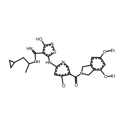 CCOc1cc2c(c(OCC)c1)CN(C(=O)c1cnc(Nc3snc(O)c3C(=N)NC(C)CC3CC3)cc1Cl)C2